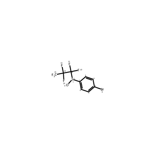 [O-][S+](c1ccc(Br)cc1)C(F)(F)C(F)(F)C(F)(F)F